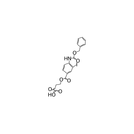 O=C(Nc1ccc(C(=O)OCCS(=O)(=O)O)cc1I)OCc1ccccc1